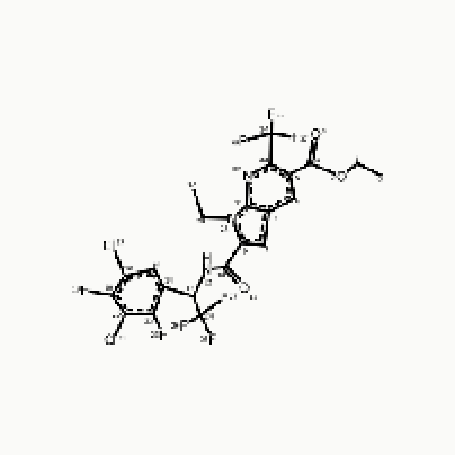 CCOC(=O)c1cc2cc(C(=O)NC(c3cc(Cl)c(F)c(Cl)c3F)C(F)(F)F)n(CC)c2nc1C(F)(F)F